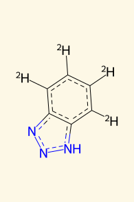 [2H]c1c([2H])c([2H])c2[nH]nnc2c1[2H]